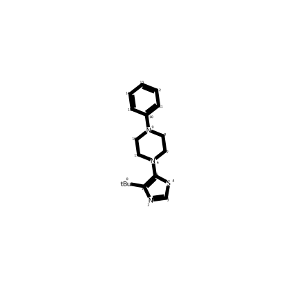 CC(C)(C)c1n[c]sc1N1CCN(c2ccccc2)CC1